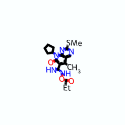 CCC(=O)ONC(=N)c1c(C)c2cnc(SC)nc2n(C2CCCC2)c1=O